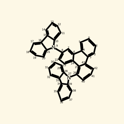 c1ccc2c(c1)c1cc(-n3c4ccccc4c4ccccc43)ccc1c1c(-n3c4ccccc4c4ccccc43)cccc21